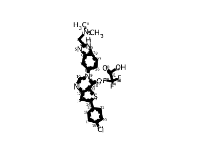 CN(C)Cc1nc2cc(-n3cnc4cc(-c5ccc(Cl)cc5)sc4c3=O)ccc2[nH]1.O=C(O)C(F)(F)F